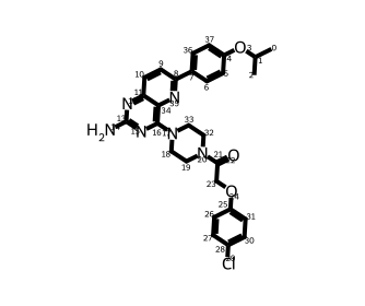 CC(C)Oc1ccc(-c2ccc3nc(N)nc(N4CCN(C(=O)COc5ccc(Cl)cc5)CC4)c3n2)cc1